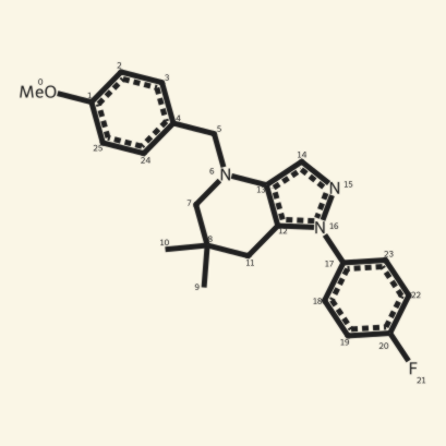 COc1ccc(CN2CC(C)(C)Cc3c2cnn3-c2ccc(F)cc2)cc1